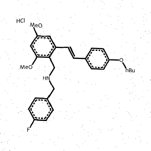 CCCCOc1ccc(/C=C/c2cc(OC)cc(OC)c2CNCc2ccc(F)cc2)cc1.Cl